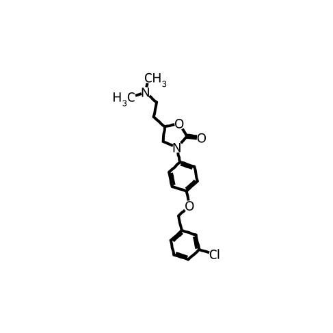 CN(C)CCC1CN(c2ccc(OCc3cccc(Cl)c3)cc2)C(=O)O1